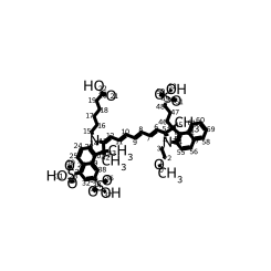 COCC[N+]1=C(/C=C/C=C/C=C/C=C2/N(CCCCCC(=O)O)c3ccc4c(S(=O)(=O)O)cc(S(=O)(=O)O)cc4c3C2(C)C)C(C)(CCCS(=O)(=O)O)c2c1ccc1ccccc21